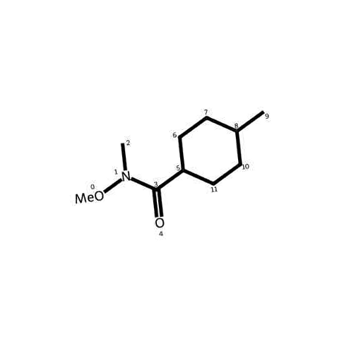 CON(C)C(=O)C1CCC(C)CC1